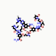 CCn1nc(C)cc1C(=O)Nc1nc2cc(C(N)=O)cc(OCCCN(C)C(=O)OCc3ccc(NC(=O)[C@H](C)NC(=O)[C@@H](NC(=O)CCN4C(=O)C=CC4=O)C(C)C)cc3)c2n1C/C=C/Cn1c2nc(-c3nc(C)nn3CC)ncc2c2cc(C(N)=O)cc(OC)c21